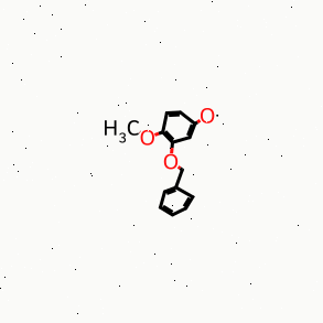 COc1ccc([O])cc1OCc1ccccc1